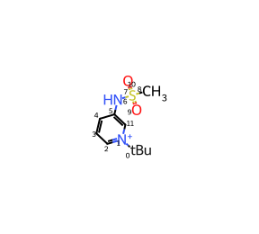 CC(C)(C)[n+]1cccc(NS(C)(=O)=O)c1